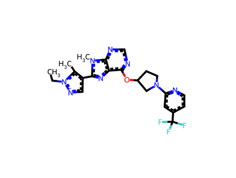 CCn1ncc(-c2nc3c(OC4CCN(c5cc(C(F)(F)F)ccn5)C4)ncnc3n2C)c1C